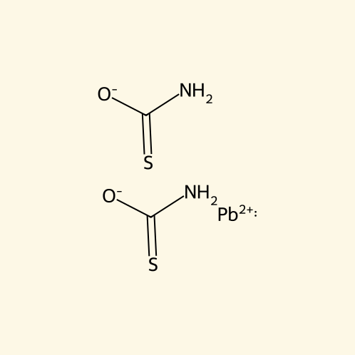 NC([O-])=S.NC([O-])=S.[Pb+2]